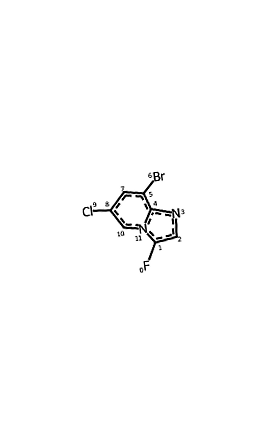 Fc1cnc2c(Br)cc(Cl)cn12